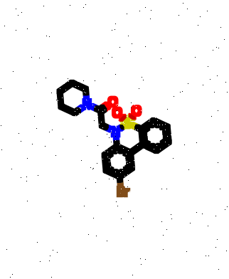 O=C(CN1c2ccc(Br)cc2-c2ccccc2S1(=O)=O)N1CCCCC1